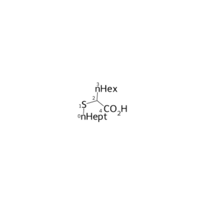 CCCCCCCSC(CCCCCC)C(=O)O